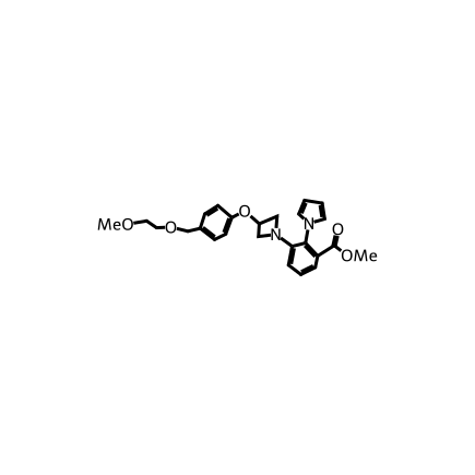 COCCOCc1ccc(OC2CN(c3cccc(C(=O)OC)c3-n3cccc3)C2)cc1